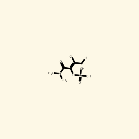 CN(C)C(=O)C(OP(=O)(O)O)=C(Cl)CCl